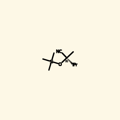 CC(C)[C@@](C)(C#N)O[Si](C)(C)C